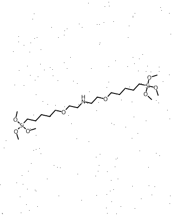 CO[Si](CCCCCOCCNCCOCCCCC[Si](OC)(OC)OC)(OC)OC